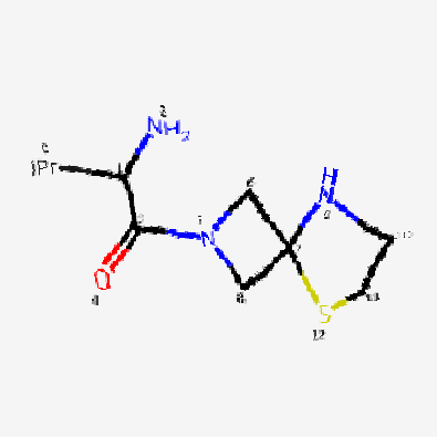 CC(C)C(N)C(=O)N1CC2(C1)NCCS2